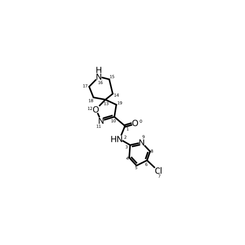 O=C(Nc1ccc(Cl)cn1)C1=NOC2(CCNCC2)C1